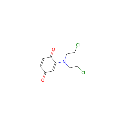 O=C1C=CC(=O)C(N(CCCl)CCCl)=C1